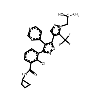 C[C@@H](O)Cn1ncc(-c2onc(-c3cccc(C(=O)NC4CCC4)c3Cl)c2-c2ccncn2)c1C(F)(F)F